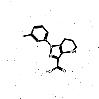 O=C(O)c1nn(-c2cccc(I)c2)c2c1NCCC2